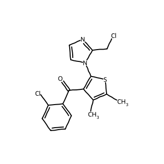 Cc1sc(-n2ccnc2CCl)c(C(=O)c2ccccc2Cl)c1C